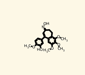 COc1ccc(C2=CC(=NO)CCc3c2cc(OC)c(OC)c3OC)cc1O